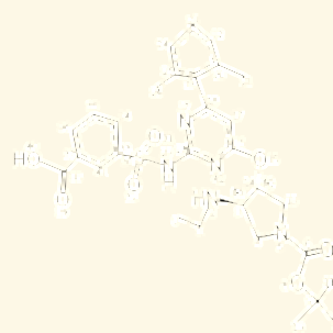 CCN[C@@H]1CN(C(=O)OC(C)(C)C)C[C@H]1Oc1cc(-c2c(C)cccc2C)nc(NS(=O)(=O)c2cccc(C(=O)O)c2)n1